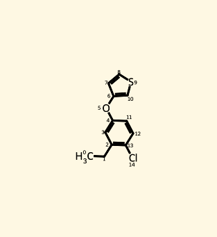 CCc1cc(Oc2ccsc2)ccc1Cl